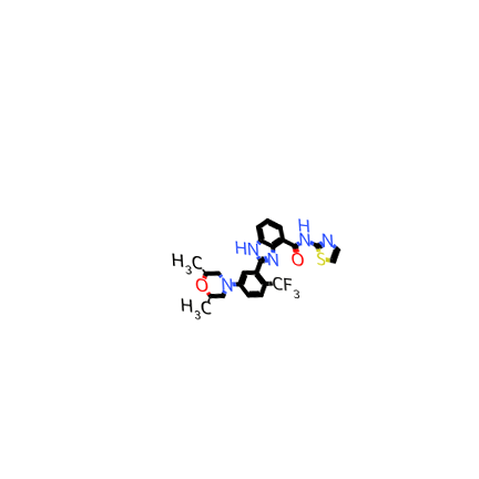 C[C@@H]1CN(c2ccc(C(F)(F)F)c(-c3nc4c(C(=O)Nc5nccs5)cccc4[nH]3)c2)C[C@H](C)O1